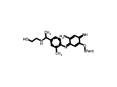 CCCCCOC1=CC(=Nc2ccc(C(C)NCCO)cc2C)C(N)=CC1=N